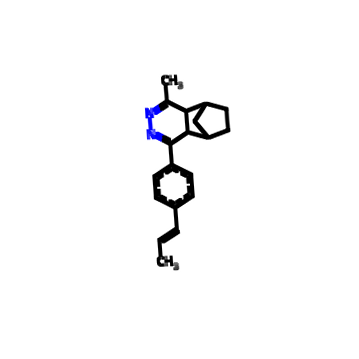 C/C=C/c1ccc(C2=NN=C(C)C3C4CCC(C4)C23)cc1